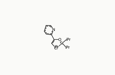 CC(C)[Si](OC(=CCl)c1ccccn1)(C(C)C)C(C)C